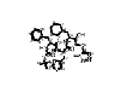 Cn1nnnc1SCC(O)C(CC1CCCCC1)NC(=O)[C@H](Cc1c[nH]cn1)NC(=O)[C@H](Cc1ccccc1)NC(=O)OC(C)(C)C